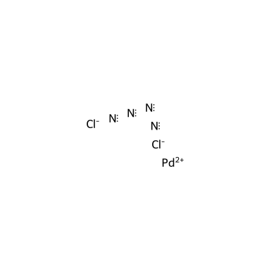 [Cl-].[Cl-].[N].[N].[N].[N].[Pd+2]